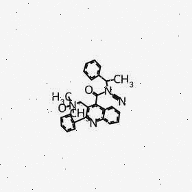 CC(c1ccccc1)N(C#N)C(=O)c1c(C[N+](C)(C)[O-])c(-c2ccccc2)nc2ccccc12